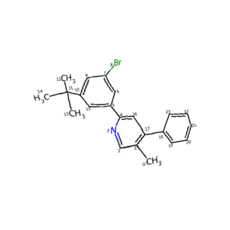 Cc1cnc(-c2cc(Br)cc(C(C)(C)C)c2)cc1-c1ccccc1